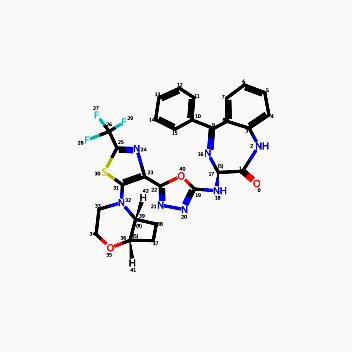 O=C1Nc2ccccc2C(c2ccccc2)=N[C@@H]1Nc1nnc(-c2nc(C(F)(F)F)sc2N2CCO[C@H]3CC[C@H]32)o1